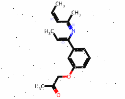 C\C=C/C(C)=N\C(=C/C)c1cccc(OCC(C)=O)c1